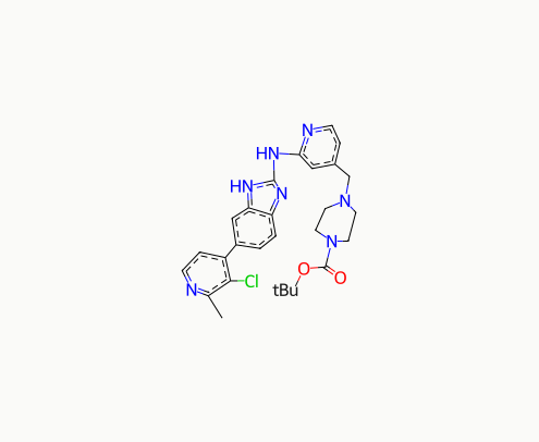 Cc1nccc(-c2ccc3nc(Nc4cc(CN5CCN(C(=O)OC(C)(C)C)CC5)ccn4)[nH]c3c2)c1Cl